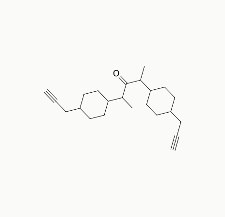 C#CCC1CCC(C(C)C(=O)C(C)C2CCC(CC#C)CC2)CC1